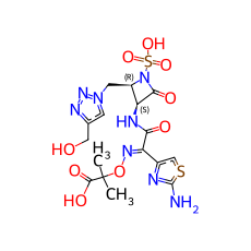 CC(C)(ON=C(C(=O)N[C@@H]1C(=O)N(S(=O)(=O)O)[C@@H]1Cn1cc(CO)nn1)c1csc(N)n1)C(=O)O